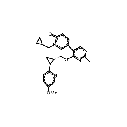 COc1ccc([C@H]2C[C@@H]2COc2nc(C)ncc2-c2ccc(=O)n(CC3CC3)c2)nc1